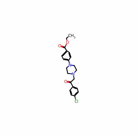 CCOC(=O)c1ccc(N2CCN(CC(=O)c3ccc(Cl)cc3)CC2)cc1